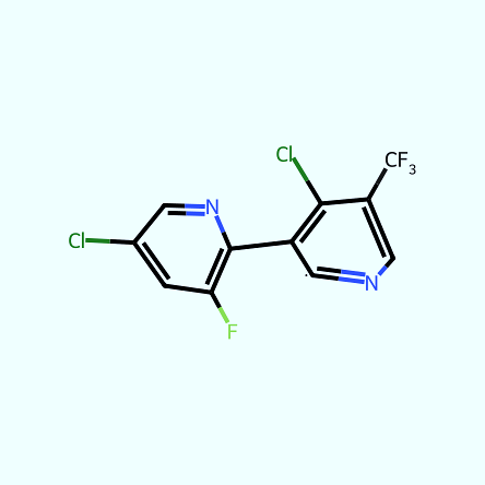 Fc1cc(Cl)cnc1-c1[c]ncc(C(F)(F)F)c1Cl